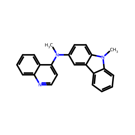 CN(c1ccc2c(c1)c1ccccc1n2C)c1ccnc2ccccc12